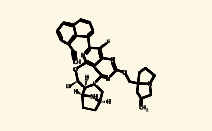 C#Cc1cccc2cccc(-c3nc4c5c(nc(OCC67CCCN6CC(=C)C7)nc5c3F)N3C[C@H]5CC[C@H](N5)[C@H]3[C@H](CC)O4)c12